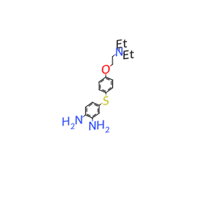 CCN(CC)CCOc1ccc(Sc2ccc(N)c(N)c2)cc1